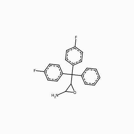 NC1OC1C(c1ccccc1)(c1ccc(F)cc1)c1ccc(F)cc1